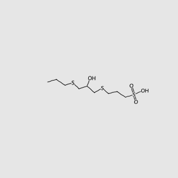 CCCSCC(O)CSCCCS(=O)(=O)O